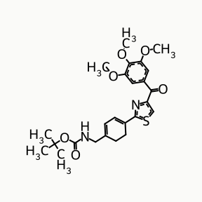 COc1cc(C(=O)c2csc(C3=CC=C(CNC(=O)OC(C)(C)C)CC3)n2)cc(OC)c1OC